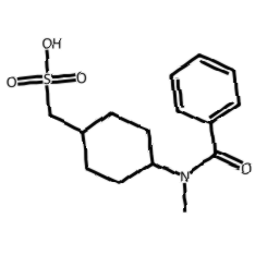 CN(C(=O)c1ccccc1)C1CCC(CS(=O)(=O)O)CC1